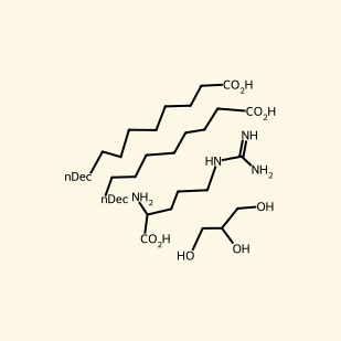 CCCCCCCCCCCCCCCCCC(=O)O.CCCCCCCCCCCCCCCCCC(=O)O.N=C(N)NCCCC(N)C(=O)O.OCC(O)CO